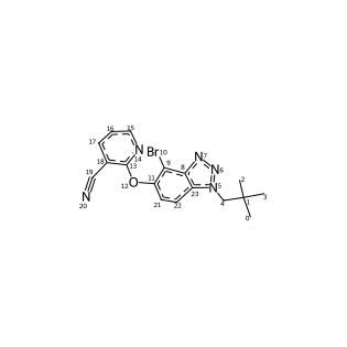 CC(C)(C)Cn1nnc2c(Br)c(Oc3ncccc3C#N)ccc21